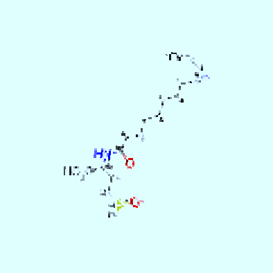 CCCCCCCC/C=C\CCCCCCCC(=O)N[C@H](CC[S+](C)[O-])C(=O)O